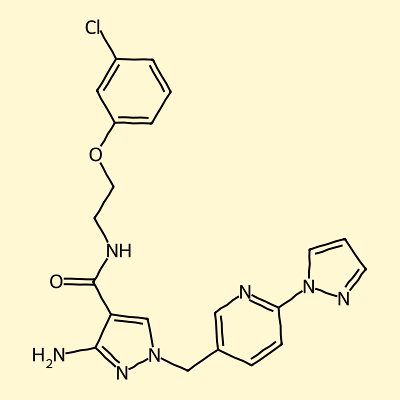 Nc1nn(Cc2ccc(-n3cccn3)nc2)cc1C(=O)NCCOc1cccc(Cl)c1